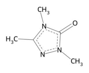 Cc1nn(C)c(=O)n1C